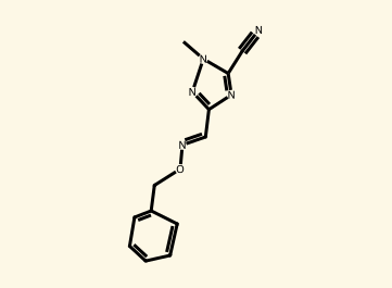 Cn1nc(C=NOCc2ccccc2)nc1C#N